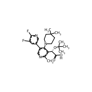 Cc1ncc(-c2cnc(F)c(F)c2)c(N2CCC(C)(C)CC2)c1[C@H](OC(C)(C)C)C(=O)O